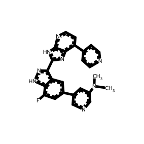 CN(C)c1cncc(-c2cc(F)c3[nH]nc(-c4nc5c(-c6ccncc6)ccnc5[nH]4)c3c2)c1